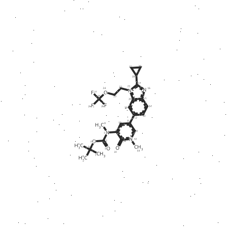 CN(C(=O)OC(C)(C)C)c1cc(-c2ccc3nc(C4CC4)n(CCOC(F)(F)F)c3c2)cn(C)c1=O